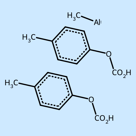 Cc1ccc(OC(=O)O)cc1.Cc1ccc(OC(=O)O)cc1.[CH3][Al]